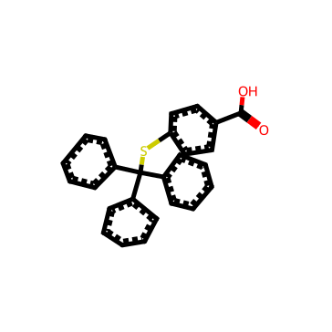 O=C(O)c1ccc(SC(c2ccccc2)(c2ccccc2)c2ccccc2)cc1